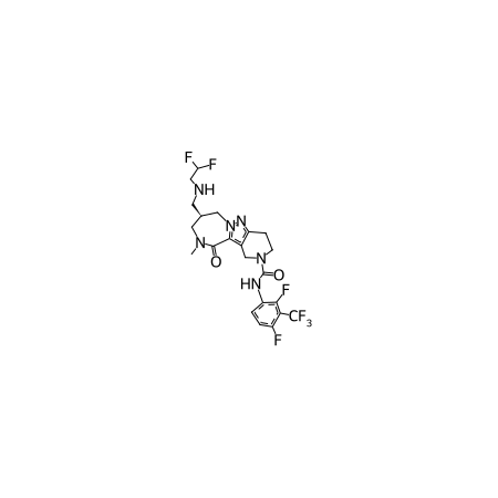 CN1C[C@@H](CNCC(F)F)Cn2nc3c(c2C1=O)CN(C(=O)Nc1ccc(F)c(C(F)(F)F)c1F)CC3